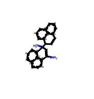 NC1=CC(N)(C2C=Cc3cccc4cccc2c34)c2cccc3cccc1c23